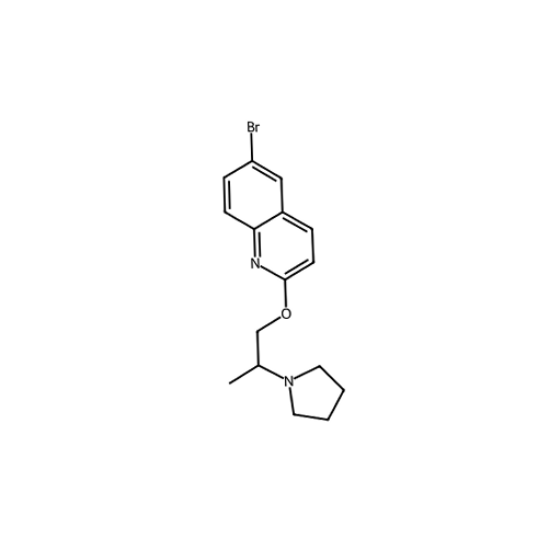 CC(COc1ccc2cc(Br)ccc2n1)N1CCCC1